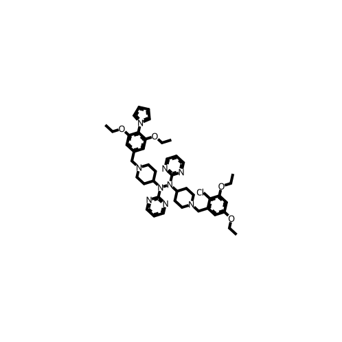 CCOc1cc(CN2CCC(N(c3ncccn3)N(c3ncccn3)C3CCN(Cc4cc(OCC)c(-n5cccc5)c(OCC)c4)CC3)CC2)c(Cl)c(OCC)c1